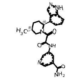 C[C@@H]1CC[C@@H](c2cccc3[nH]ncc23)N(C(=O)C(=O)Nc2cncc(C(N)=O)c2)C1